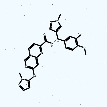 COc1ccc([C@H](NC(=O)c2ccc3cnc(Nc4ccnn4C)cc3n2)c2cnn(C)c2)cc1F